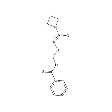 O=C(OCO/N=[N+](\[O-])N1CCC1)c1ccccc1